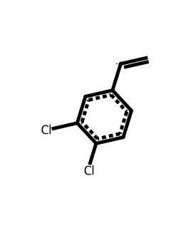 C=[C]c1ccc(Cl)c(Cl)c1